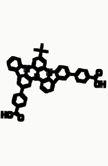 CC(C)(C)c1cc2c3c(c1)-n1c4ccccc4c4cc(-c5ccc(C(=O)O)cc5)cc(c41)B3c1cccc3c4cc(-c5ccc(C(=O)O)cc5)ccc4n-2c13